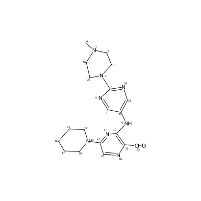 CN1CCN(c2ncc(Nc3nc(N4CCCCC4)cnc3C=O)cn2)CC1